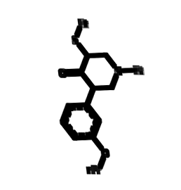 CCCOc1cccc(C2CN(CC)CC(SCC)C2=O)c1